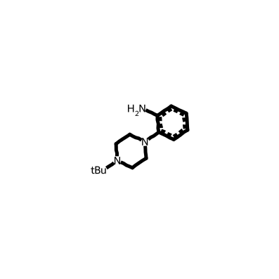 CC(C)(C)N1CCN(c2ccccc2N)CC1